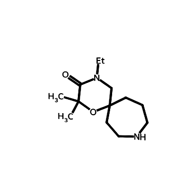 CCN1CC2(CCCNCC2)OC(C)(C)C1=O